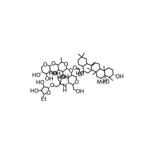 CC[C@@H]1O[C@@H](OCC(=O)N[C@H]2C(CO)O[C@@H](OC(=O)[C@]34CCC(C)(C)CC3C3=CCC5C6(C)CC[C@H](O)[C@](C)(OC)[C@@H]6CCC5(C)[C@]3(C)CC4O)C(O[C@@H]3OC(C)[C@H](O[C@@H]4OC[C@@H](O)C(O)C4O)C(O)C3O)C2O)C(O)C1O